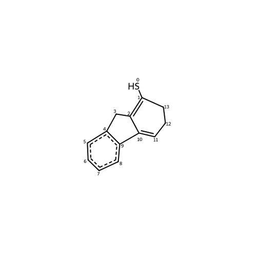 SC1=C2Cc3ccccc3C2=CCC1